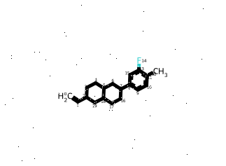 C=CC1CCC2CC(c3ccc(C)c(F)c3)CCC2C1